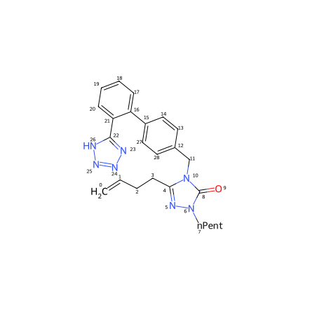 C=CCCc1nn(CCCCC)c(=O)n1Cc1ccc(-c2ccccc2-c2nnn[nH]2)cc1